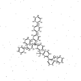 CC1(C)c2cc(-c3cccc4c3oc3ccccc34)ccc2-c2ccc(N(c3ccc(-c4ccc(-c5ccccc5)cc4)cc3)c3ccc(-c4ccccc4)c4ccccc34)cc21